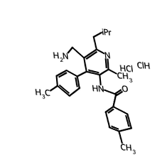 Cc1ccc(C(=O)Nc2c(C)nc(CC(C)C)c(CN)c2-c2ccc(C)cc2)cc1.Cl.Cl